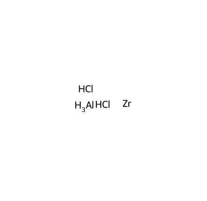 Cl.Cl.[AlH3].[Zr]